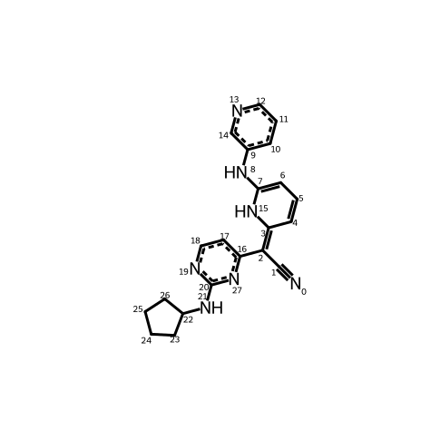 N#C/C(=C1\C=CC=C(Nc2cccnc2)N1)c1ccnc(NC2CCCC2)n1